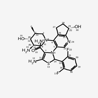 C[C@H]1CN(c2c(N3C(C(N)=O)=C(N)SC3c3c(F)cccc3F)cnc3c2CC[C@@H]3O)C[C@@H](N)[C@@H]1O